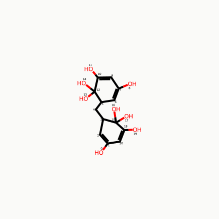 OC1=CC(CC2C=C(O)C=C(O)C2(O)O)C(O)(O)C(O)=C1